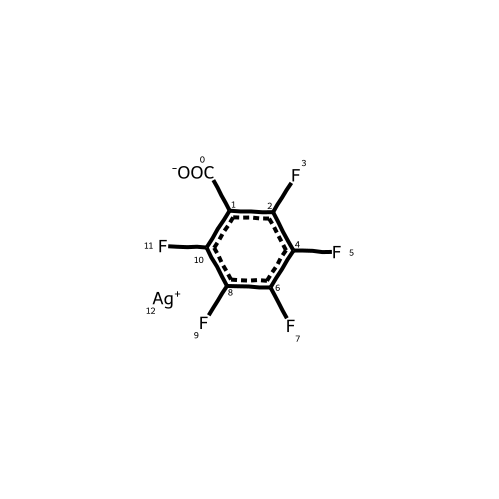 O=C([O-])c1c(F)c(F)c(F)c(F)c1F.[Ag+]